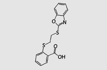 O=C(O)c1ccccc1SCCSc1nc2ccccc2o1